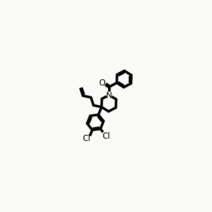 C=CCCC1(c2ccc(Cl)c(Cl)c2)CCCN(C(=O)c2ccccc2)C1